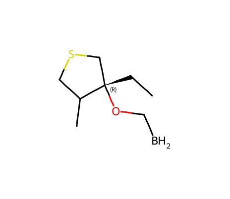 BCO[C@@]1(CC)CSCC1C